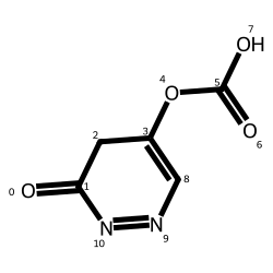 O=C1CC(OC(=O)O)=CN=N1